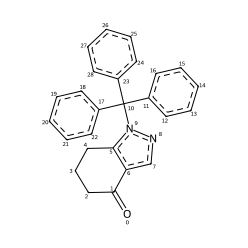 O=C1CCCc2c1cnn2C(c1ccccc1)(c1ccccc1)c1ccccc1